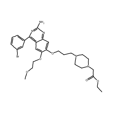 CCOC(=O)CN1CCN(CCCOc2cc3nc(N)nc(-c4cccc(Br)c4)c3cc2OCCOC)CC1